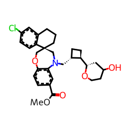 COC(=O)c1ccc2c(c1)N(C[C@@H]1CC[C@H]1[C@@H]1CC(O)CCO1)C[C@@]1(CCCc3cc(Cl)ccc31)CO2